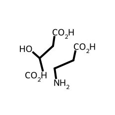 NCCC(=O)O.O=C(O)CC(O)C(=O)O